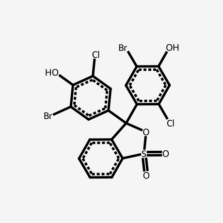 O=S1(=O)OC(c2cc(Cl)c(O)c(Br)c2)(c2cc(Br)c(O)cc2Cl)c2ccccc21